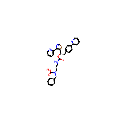 O=C(NCCCN(Cc1ccccc1)C(=O)O)OC(Cc1ccc(-c2ccccn2)cc1)c1scnc1-c1ccccn1